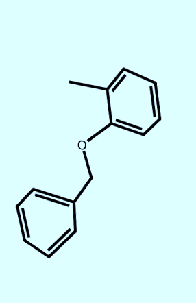 Cc1ccccc1OCc1ccccc1